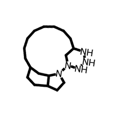 C1CCCCC2CN(NNN2)N2CCC3CCC(CCC1)CC32